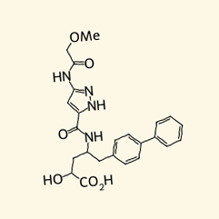 COCC(=O)Nc1cc(C(=O)NC(Cc2ccc(-c3ccccc3)cc2)CC(O)C(=O)O)[nH]n1